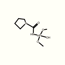 CO[PH](O)(NC(=O)N1CCCC1)OC